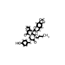 CCCCN1CC2N(C[C@@H](Cc3ccc(O)cc3)C1=O)C(=O)c1sccc1N2C(=O)NCc1ccc2c(c1)OCO2